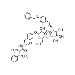 CC(c1ccccc1)[C@H](N)C(=O)N[C@H]([C]=O)Cc1ccc(OC2OC(CO)C(OC3OC(COCc4ccc(OCc5ccccc5)cc4)C(O)C(O)C3O)C(O)C2O)cc1